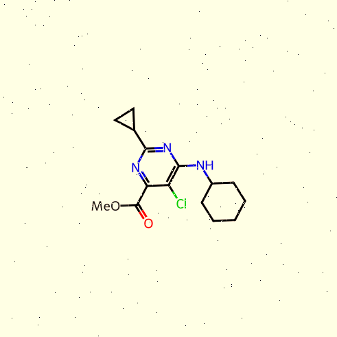 COC(=O)c1nc(C2CC2)nc(NC2CCCCC2)c1Cl